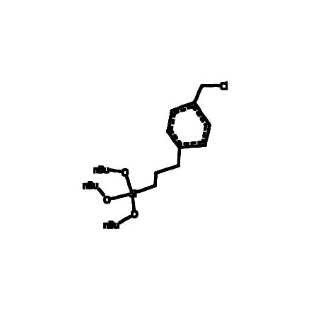 CCCCO[Si](CCCc1ccc(CCl)cc1)(OCCCC)OCCCC